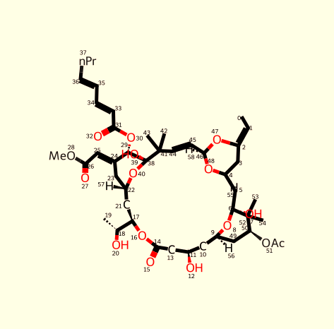 C/C=C1/C[C@H]2C[C@]3(O)O[C@H](C[C@@H](O)CC(=O)O[C@@H]([C@@H](C)O)C[C@@H]4C/C(=C\C(=O)OC)[C@H](OC(=O)/C=C/C=C/CCC)[C@@](O)(O4)C(C)(C)/C=C/[C@@H](O1)O2)C[C@H](OC(C)=O)C3(C)C